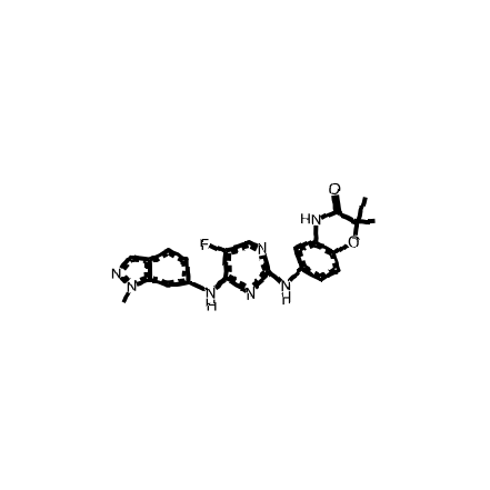 Cn1ncc2ccc(Nc3nc(Nc4ccc5c(c4)NC(=O)C(C)(C)O5)ncc3F)cc21